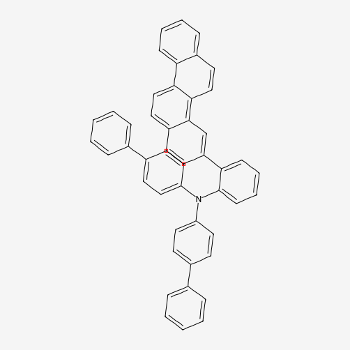 c1ccc(-c2ccc(N(c3ccc(-c4ccccc4)cc3)c3ccccc3-c3ccc4ccc5c6ccccc6ccc5c4c3)cc2)cc1